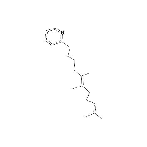 CC(C)=CCC/C(C)=C(\C)CCCCc1ccccn1